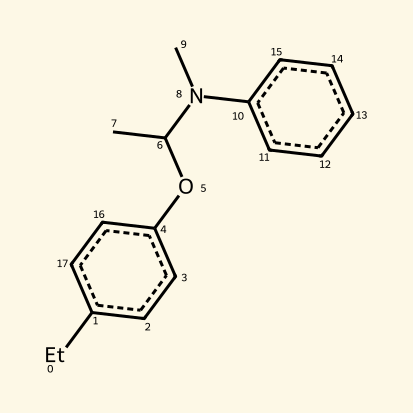 CCc1ccc(OC(C)N(C)c2ccccc2)cc1